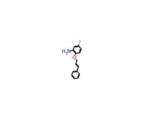 Nc1cc(F)ccc1OCC=Cc1ccccc1